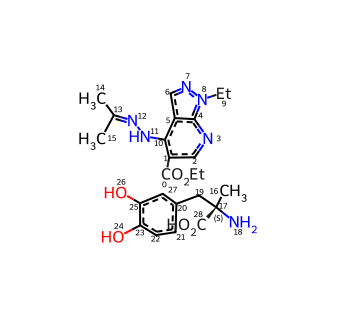 CCOC(=O)c1cnc2c(cnn2CC)c1NN=C(C)C.C[C@](N)(Cc1ccc(O)c(O)c1)C(=O)O